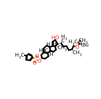 Cc1ccc(S(=O)(=O)OC2CC[C@@]3(C)C(=CC[C@H]4[C@@H]5C[C@H](O)[C@H]([C@H](C)CCC[C@@H](C)CO[Si](C)(C)C(C)(C)C)[C@@]5(C)CC[C@@H]43)C2)cc1